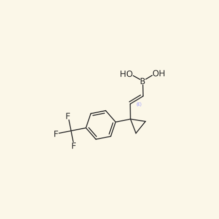 OB(O)/C=C/C1(c2ccc(C(F)(F)F)cc2)CC1